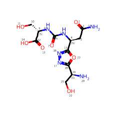 NC(=O)C[C@H](NC(=O)N[C@@H](CO)C(=O)O)c1nnc([C@@H](N)CO)o1